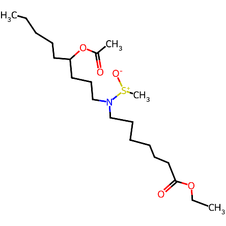 CCCCCC(CCCN(CCCCCCC(=O)OCC)[S+](C)[O-])OC(C)=O